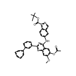 COc1cc2nc(-c3cccc(-c4ccccc4)c3)nc(Nc3ccc4c(cnn4C(=O)OC(C)(C)C)c3)c2cc1OC(C)=O